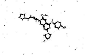 COc1cc2c(NC3CCN(C(C)C)CC3)nc(N3CC[C@H](F)C3)nc2cc1C#CCCN1CCCC1